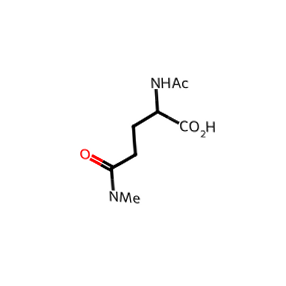 CNC(=O)CCC(NC(C)=O)C(=O)O